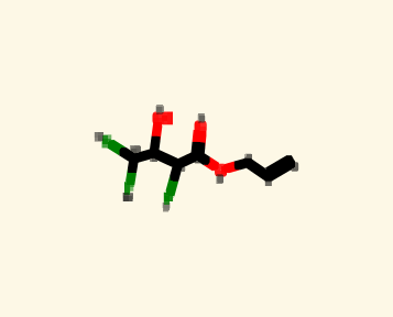 C=CCOC(=O)C(F)C(O)C(F)F